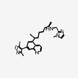 C=C(CCCCC(C)c1cc(-c2c(C)noc2C)cc2ncccc12)NCc1nccn1C